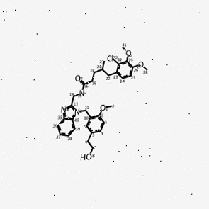 COc1ccc(CCO)cc1Cn1c(C[N]C(=O)CCC(C)Cc2ccc(OC)c(OC)c2Cl)nc2ccccc21